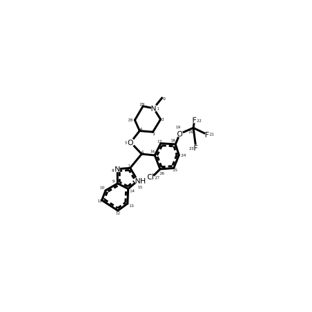 CN1CCC(OC(c2nc3ccccc3[nH]2)c2cc(OC(F)(F)F)ccc2Cl)CC1